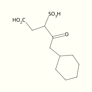 O=C(O)CC(C(=O)CC1CCCCC1)S(=O)(=O)O